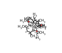 CCN(CC)S12(N(CC)CC)(N(CC)[C@H](C)C[C@H](C)N1CC)N(CC)[C@H](C)C[C@H](C)N2CC